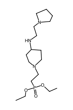 CCOP(=O)(CCN1CCC(NCCN2CCCC2)CC1)OCC